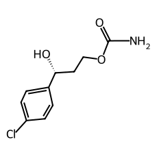 NC(=O)OCC[C@@H](O)c1ccc(Cl)cc1